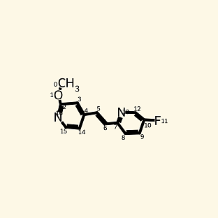 COc1cc(/C=C/c2ccc(F)cn2)ccn1